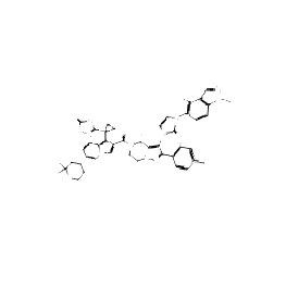 C[C@H]1c2c(-n3ccn(-c4ccc5c(cnn5C)c4F)c3=O)c(-c3ccc(F)cc3)nn2CCN1C(=O)c1cn2cc([C@@H]3CCOC(C)(C)C3)ccc2c1C1(c2noc(=O)[nH]2)CC1